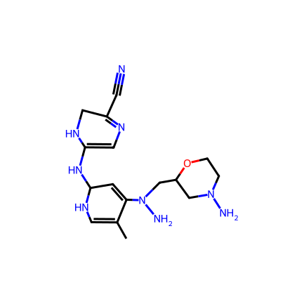 CC1=CNC(NC2=CN=C(C#N)CN2)C=C1N(N)CC1CN(N)CCO1